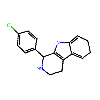 Clc1ccc(C2NCCc3c2[nH]c2c3=CCCC=2)cc1